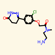 CN(CCN)C(=O)COc1ccc(C2=NNC(=O)CC2)cc1Cl